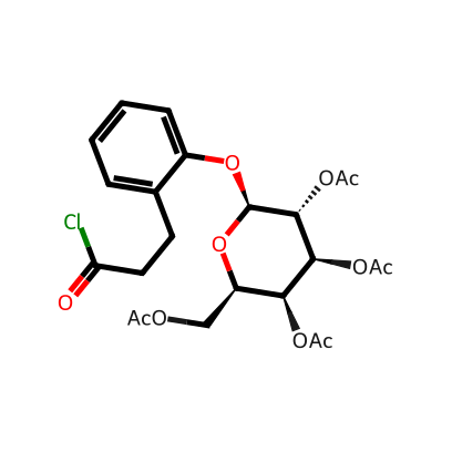 CC(=O)OC[C@H]1O[C@@H](Oc2ccccc2CCC(=O)Cl)[C@H](OC(C)=O)[C@@H](OC(C)=O)[C@H]1OC(C)=O